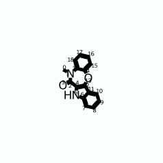 CN1C(=O)c2[nH]c3ccccc3c2Oc2ccccc21